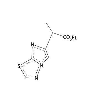 CCOC(=O)C(C)c1cn2ncsc2n1